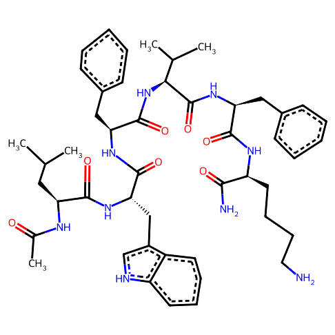 CC(=O)N[C@@H](CC(C)C)C(=O)N[C@@H](Cc1c[nH]c2ccccc12)C(=O)N[C@@H](Cc1ccccc1)C(=O)N[C@H](C(=O)N[C@@H](Cc1ccccc1)C(=O)N[C@@H](CCCCN)C(N)=O)C(C)C